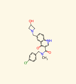 CN(Cc1ccc(Cl)cc1)C(=O)c1c[nH]c2ccc(CN3CC(O)C3)cc2c1=O